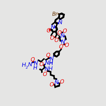 CC[C@@]1(OC(=O)N2CCN(C(=O)OCc3ccc(NC(=O)[C@H](CCCNC(N)=O)NC(=O)[C@@H](NC(=O)CCCCCN4C(=O)C=CC4=O)C(C)C)cc3)CC2)C(=O)OCc2c1cc1n(c2=O)Cc2cc3c(Br)cccc3nc2-1